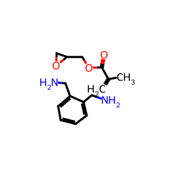 C=C(C)C(=O)OCC1CO1.NCc1ccccc1CN